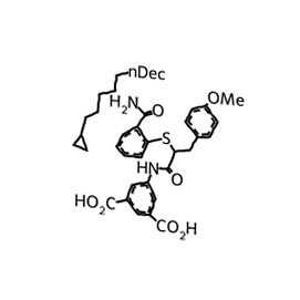 CCCCCCCCCCCCCCCC1CC1.COc1ccc(CC(Sc2ccccc2C(N)=O)C(=O)Nc2cc(C(=O)O)cc(C(=O)O)c2)cc1